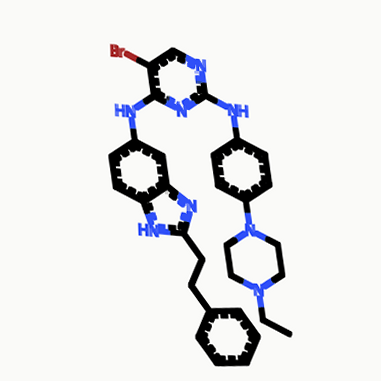 CCN1CCN(c2ccc(Nc3ncc(Br)c(Nc4ccc5[nH]c(CCc6ccccc6)nc5c4)n3)cc2)CC1